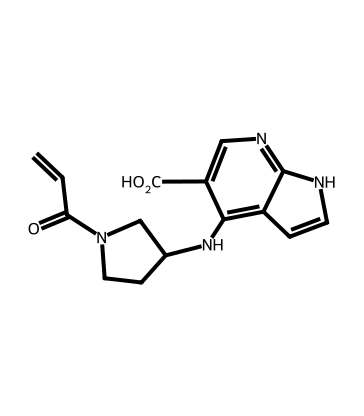 C=CC(=O)N1CCC(Nc2c(C(=O)O)cnc3[nH]ccc23)C1